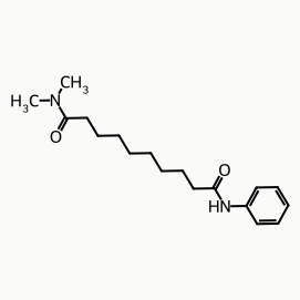 CN(C)C(=O)CCCCCCCCC(=O)Nc1ccccc1